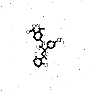 Cc1noc(=O)c2ccc(NC(=O)C3(c4ccc(C(F)(F)F)cc4)CC(C)(c4c(F)cccc4Cl)O3)cc12